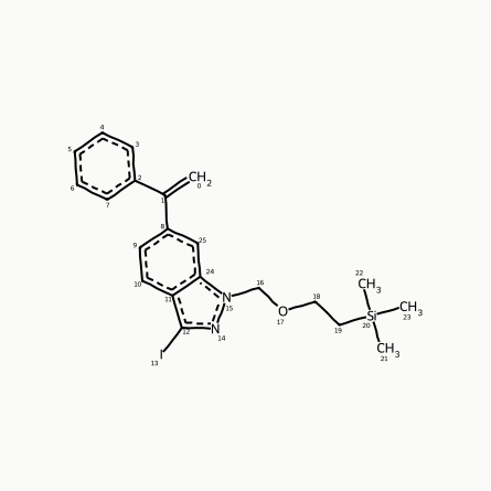 C=C(c1ccccc1)c1ccc2c(I)nn(COCC[Si](C)(C)C)c2c1